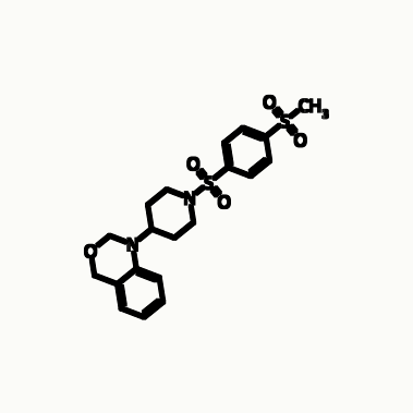 CS(=O)(=O)c1ccc(S(=O)(=O)N2CCC(N3COCc4ccccc43)CC2)cc1